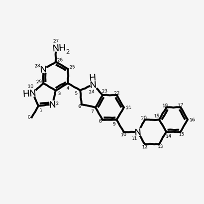 Cc1nc2c(C3Cc4cc(CN5CCc6ccccc6C5)ccc4N3)cc(N)nc2[nH]1